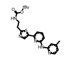 Cc1ccnc(Nc2cccc(-c3cnc(CCNC(=O)OC(C)(C)C)s3)n2)c1